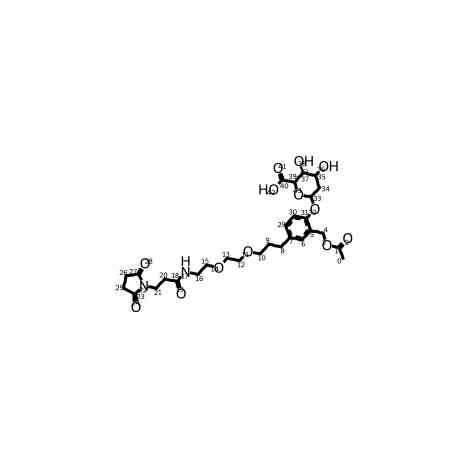 CC(=O)OCc1cc(CCCOCCOCCNC(=O)CCN2C(=O)CCC2=O)ccc1OC1CC(O)[C@H](O)C(C(=O)O)O1